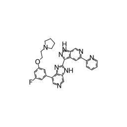 Fc1cc(OCCN2CCCC2)cc(-c2cncc3[nH]c(-c4n[nH]c5cnc(-c6ccccn6)cc45)nc23)c1